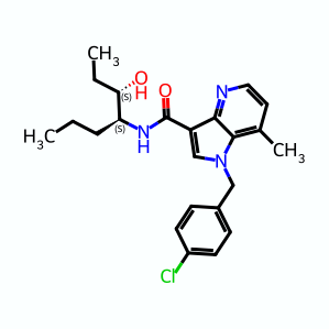 CCC[C@H](NC(=O)c1cn(Cc2ccc(Cl)cc2)c2c(C)ccnc12)[C@@H](O)CC